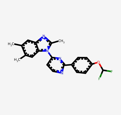 Cc1cc2nc(C)n(-c3ccnc(-c4ccc(OC(F)F)cc4)n3)c2cc1C